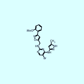 COc1ccccc1-c1cc(CNc2ncc(Br)c(Nc3cc(C)[nH]n3)n2)on1